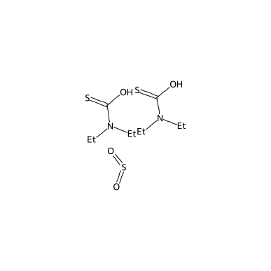 CCN(CC)C(O)=S.CCN(CC)C(O)=S.O=S=O